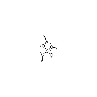 CCO[Si](Cl)(OC)OC